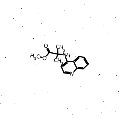 COC(=O)C(C)(C)Nc1ccnc2ccccc12